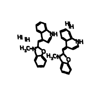 CN1c2ccccc2OC1C=C1C=CNc2ccccc21.CN1c2ccccc2OC1C=C1C=CNc2ccccc21.I.I.I.I